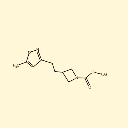 CC(C)(C)OC(=O)N1CC(CCc2cc(C(F)(F)F)on2)C1